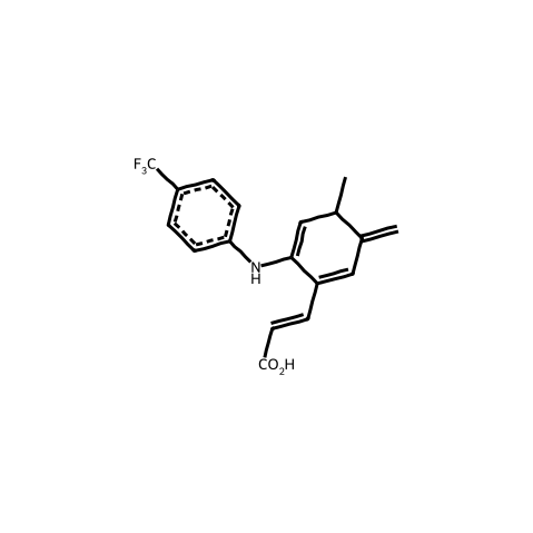 C=C1C=C(C=CC(=O)O)C(Nc2ccc(C(F)(F)F)cc2)=CC1C